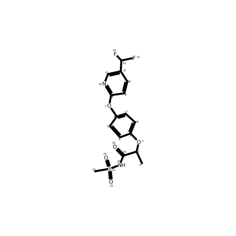 CC(Oc1ccc(Oc2ccc(C(F)F)cn2)cc1)C(=O)NS(C)(=O)=O